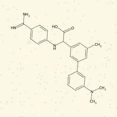 Cc1cc(-c2cccc(N(C)C)c2)cc(C(Nc2ccc(C(=N)N)cc2)C(=O)O)c1